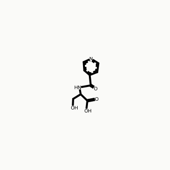 O=C(NC(CO)C(=O)O)c1ccncc1